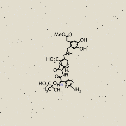 COC(=O)Cc1cc(O)c(O)cc1CNCC1=C(C(=O)O)N2C(=O)C(NC(=O)/C(=N\OC(C)(C)C(=O)O)c3csc(N)n3)[C@H]2SC1